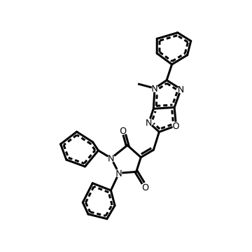 Cn1c(-c2ccccc2)nc2oc(C=C3C(=O)N(c4ccccc4)N(c4ccccc4)C3=O)nc21